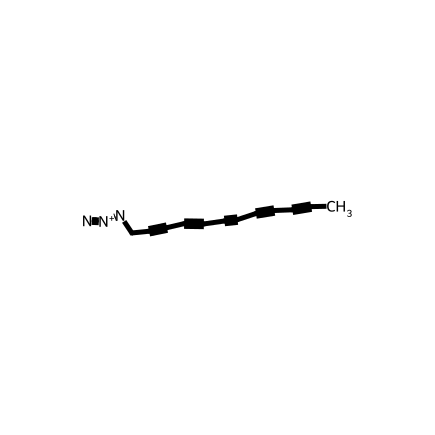 CC#CC#CC#CC#CC#CCN=[N+]=[N-]